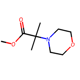 COC(=O)C(C)(C)N1CCOCC1